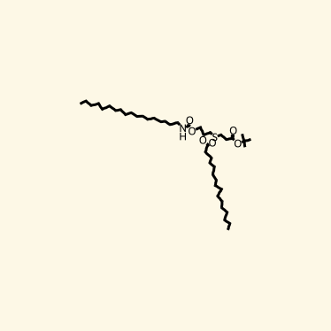 CCCCCCCCCCCCCCCCCCNC(=O)OCC(CSCCC(=O)OC(C)(C)C)OC(=O)CCCCCCCCCCCCCCC